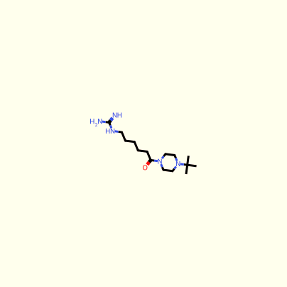 CC(C)(C)N1CCN(C(=O)CCCCCNC(=N)N)CC1